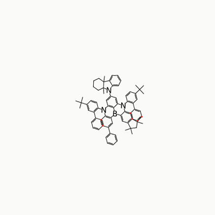 CC(C)(C)c1ccc(N2c3ccc(-c4ccccc4)cc3B3c4cc5c(cc4N(c4ccc(C(C)(C)C)cc4-c4ccccc4)c4cc(N6c7ccccc7C7(C)CCCCC67C)cc2c43)C(C)(C)CC5(C)C)c(-c2ccccc2)c1